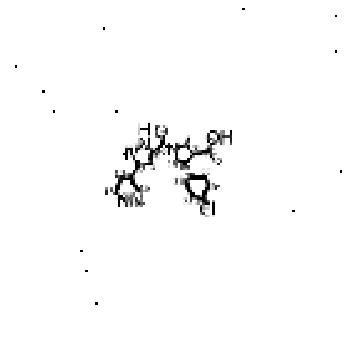 C[C@H](O)[C@@H]1CN(C(=O)c2cc(-c3ccnnc3)n[nH]2)C[C@H]1c1ccc(Cl)cc1